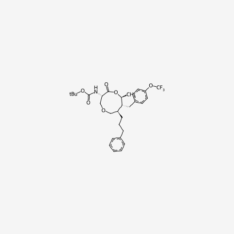 C[C@@H]1OC(=O)[C@@H](NC(=O)OC(C)(C)C)COC[C@H](CCCc2ccccc2)[C@H]1Cc1ccc(OC(F)(F)F)cc1